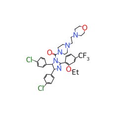 CCOc1cc(C(F)(F)F)ccc1C1=NC(c2ccc(Cl)cc2)C(c2ccc(Cl)cc2)N1C(=O)N1CCN(CCN2CCOCC2)CC1